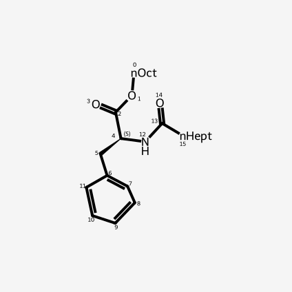 CCCCCCCCOC(=O)[C@H](Cc1ccccc1)NC(=O)CCCCCCC